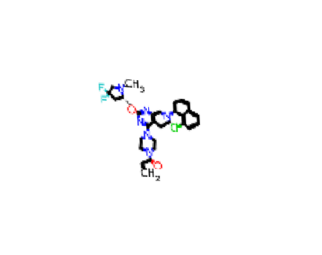 C=CC(=O)N1CCN(c2nc(OC[C@@H]3CC(F)(F)CN3C)nc3c2CCN(c2cccc4cccc(Cl)c24)C3)CC1